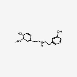 Oc1cccc(CCNCCc2ccc(O)c(O)c2)c1